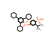 CC(C)c1cc(OS(=O)(=O)c2c(C3CCCCC3)cc(C3CCCCC3)cc2C2CCCCC2)c(S)cc1S(=O)(=O)O